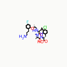 C[C@H](CN[C@H](C(=O)N(C)[C@H](C)C(=O)N[C@H](Cc1ccc(Cl)cc1)C(=O)O)C1CC1)Oc1cc(F)ccc1CCCN